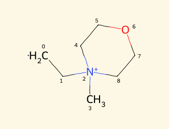 [CH2]C[N+]1(C)CCOCC1